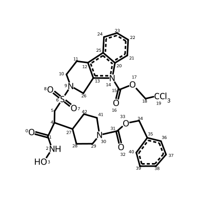 O=C(NO)C(CS(=O)(=O)N1CCc2c(n(C(=O)OCC(Cl)(Cl)Cl)c3ccccc23)C1)C1CCN(C(=O)OCc2ccccc2)CC1